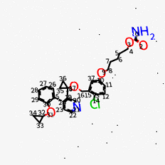 NC(=O)OCCCCCOc1ccc(Cl)c(COC2(c3cnccc3-c3ccccc3OC3CC3)CC2)c1